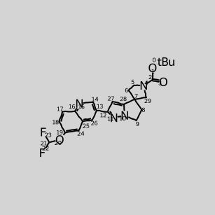 CC(C)(C)OC(=O)N1CCC2(CCn3nc(-c4cnc5ccc(OC(F)F)cc5c4)cc32)C1